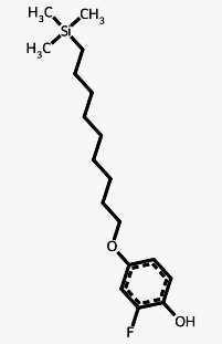 C[Si](C)(C)CCCCCCCCCOc1ccc(O)c(F)c1